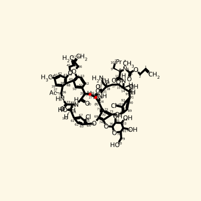 C=CCOC(=O)N(C)[C@H](CC(C)C)C(=O)N[C@H]1C(=O)C[C@@H](CN)C(=O)N[C@H]2C(=O)C[C@H]3C(=O)N[C@H](C(=O)N[C@H](C(C)=O)c4cc(C)cc(OCC=C)c4-c4cc3ccc4OCC=C)[C@H](O)c3ccc(c(Cl)c3)Oc3cc2cc(c3OC2OC(CO)C(O)C(O)C2O)Oc2ccc(cc2Cl)[C@H]1O